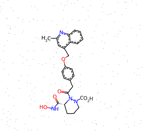 Cc1cc(COc2ccc(CC(=O)N3[C@@H](C(=O)NO)CCCN3C(=O)O)cc2)c2ccccc2n1